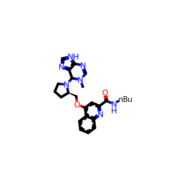 CCCCNC(=O)c1cc(OC[C@H]2CCCN2C2c3nc[nH]c3N=CN2C)c2ccccc2n1